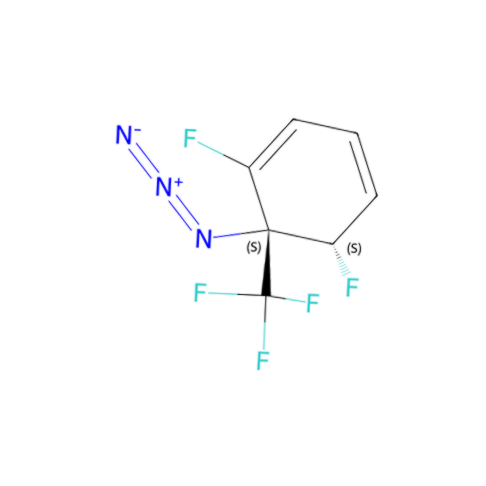 [N-]=[N+]=N[C@]1(C(F)(F)F)C(F)=CC=C[C@@H]1F